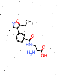 CCc1oncc1-c1cccc(C(=O)NC[C@@H](N)C(=O)O)c1